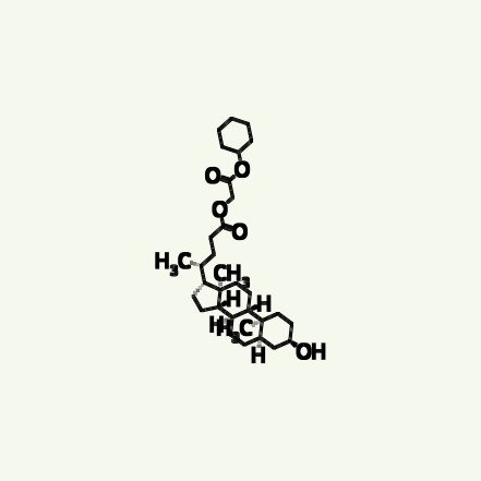 C[C@H](CCC(=O)OCC(=O)OC1CCCCC1)[C@H]1CC[C@H]2[C@@H]3CC[C@@H]4C[C@H](O)CC[C@]4(C)[C@H]3CC[C@]12C